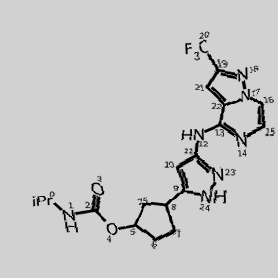 CC(C)NC(=O)OC1CCC(c2cc(Nc3nccn4nc(C(F)(F)F)cc34)n[nH]2)C1